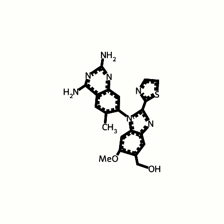 COc1cc2c(cc1CO)nc(-c1nccs1)n2-c1cc2nc(N)nc(N)c2cc1C